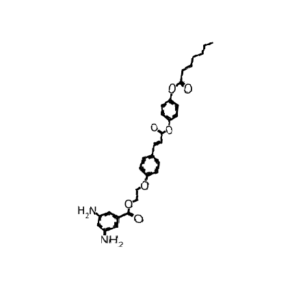 CCCCCCC(=O)Oc1ccc(OC(=O)C=Cc2ccc(OCCOC(=O)c3cc(N)cc(N)c3)cc2)cc1